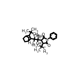 CC(C)(C)C1C(=O)N(c2ccccc2)C(=O)C1C(C)(C)C(C)(C)C1C2CCC(C2)C1C(C)(C)C